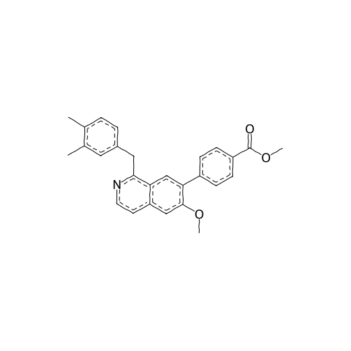 COC(=O)c1ccc(-c2cc3c(Cc4ccc(C)c(C)c4)nccc3cc2OC)cc1